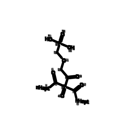 CCCCCCCC(=O)P(=O)(C(=O)CCCCCCC)C(=O)COCP(=O)(O)O